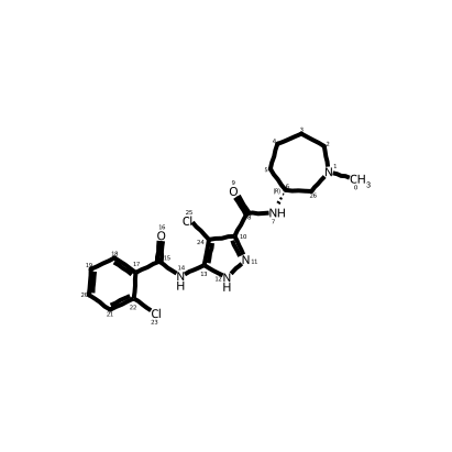 CN1CCCC[C@@H](NC(=O)c2n[nH]c(NC(=O)c3ccccc3Cl)c2Cl)C1